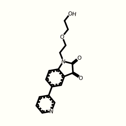 O=C1C(=O)N(CCOCCO)c2ccc(-c3cccnc3)cc21